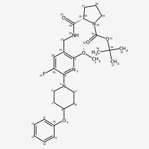 COc1nc(N2CCC(Oc3ccccc3)CC2)c(F)cc1CNC(=O)[C@@H]1CCCN1C(=O)OC(C)(C)C